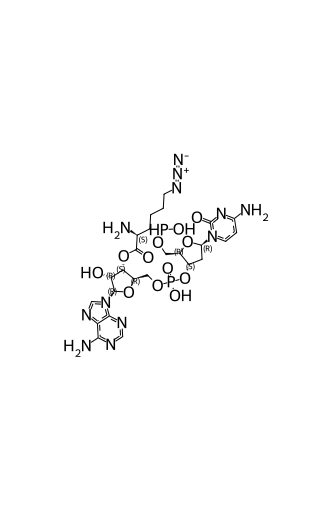 [N-]=[N+]=NCCCC[C@H](N)C(=O)O[C@H]1[C@@H](O)[C@H](n2cnc3c(N)ncnc32)O[C@@H]1COP(=O)(O)O[C@H]1C[C@H](n2ccc(N)nc2=O)O[C@@H]1COPO